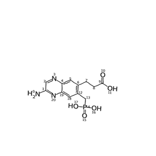 Nc1cnc2cc(CCC(=O)O)c(CP(=O)(O)O)cc2n1